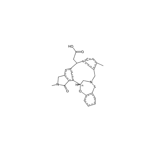 Cc1ccc2cc1CN1C[C@H](Oc3ccccc3S1)c1cc(cc3c1C(=O)N(C)C3)C2CC(=O)O